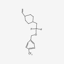 C=CC1CCC(CC(F)(F)OCc2ccc(C(F)(F)F)cc2)CC1